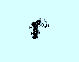 Cc1ccc(Oc2ncccc2C(=O)N[C@H]2CC[C@@H](C(=O)NCc3ccccn3)CC2)c(S(=O)(=O)O)c1